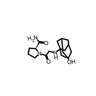 NC(=O)[C@@H]1CCCN1C(=O)CNC12CC3CC(CC(O)(C3)C1)C2